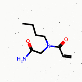 C=CC(=O)N(CCCC)CC(N)=O